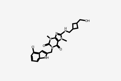 Cn1c(NCC2CC(CO)C2)nc2c1c(=O)n(Cc1cc3c(Cl)cccc3[nH]1)c(=O)n2C